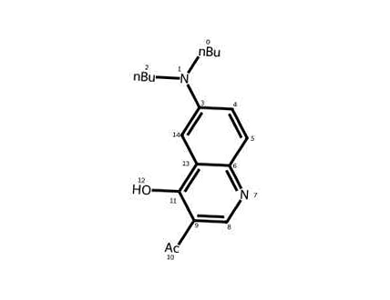 CCCCN(CCCC)c1ccc2ncc(C(C)=O)c(O)c2c1